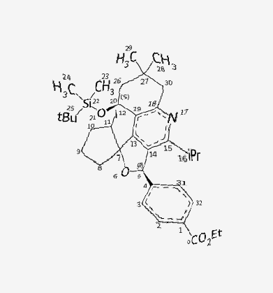 CCOC(=O)c1ccc([C@H]2OC3(CCCC3I)c3c2c(C(C)C)nc2c3[C@@H](O[Si](C)(C)C(C)(C)C)CC(C)(C)C2)cc1